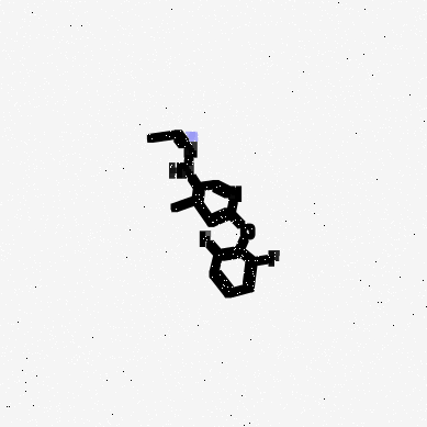 C/C=N\Nc1cnc(Oc2c(F)cccc2F)cc1C